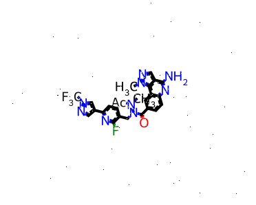 CC(=O)N(C)N(Cc1ccc(-c2cnn(C(F)(F)F)c2)nc1F)C(=O)c1ccc2nc(N)c3cnn(C)c3c2c1